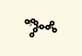 c1ccc(-c2ccc(N(c3ccc(-c4ccc5c(c4)c4ccccc4n5-c4ccccc4)cc3)c3ccc4ccc5c6ccccc6sc5c4c3)cc2)cc1